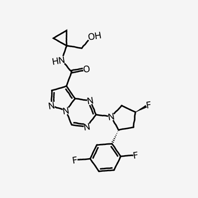 O=C(NC1(CO)CC1)c1cnn2cnc(N3C[C@@H](F)C[C@@H]3c3cc(F)ccc3F)nc12